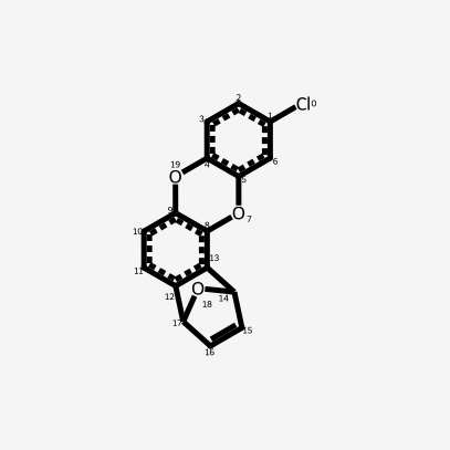 Clc1ccc2c(c1)Oc1c(ccc3c1C1C=CC3O1)O2